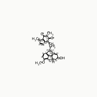 COc1ccc2c3c1O[C@H]1C[C@@H](O)C=C[C@@]31CCN(C)C2.Cn1c(=O)c2c(ncn2C)n(C)c1=O